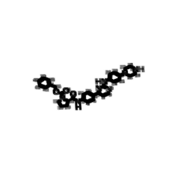 O=C(Nc1ccc(-c2ccnc(Nc3ccc(N4CCNCC4)cc3)n2)cc1)[C@H]1CCCN1C(=O)OCc1ccccc1